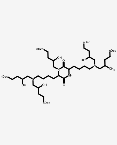 CCCCCCCCCCCCC(C)CN(CCCCC1NC(=O)C(CCCCN(CC(O)CCCCCCCCCCCC)CC(O)CCCCCCCCCCCC)N(CC(O)CCCCCCCCCCCC)C1=O)CC(O)CCCCCCCCCCCC